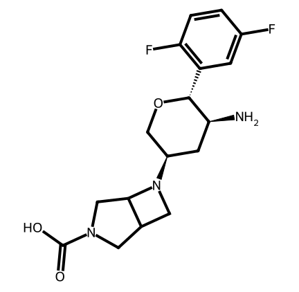 N[C@H]1C[C@@H](N2CC3CN(C(=O)O)CC32)CO[C@@H]1c1cc(F)ccc1F